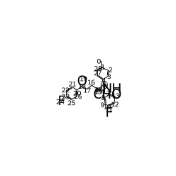 Cc1ccc([C@@H](Nc2ccc(F)cc2)[C@H](C=O)CCC(=O)c2ccc(F)cc2)cc1